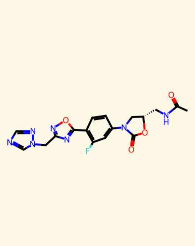 CC(=O)NC[C@H]1CN(c2ccc(-c3nc(Cn4cncn4)no3)c(F)c2)C(=O)O1